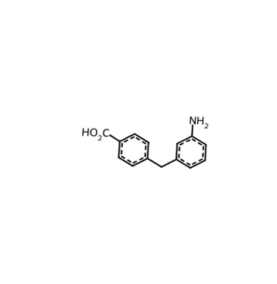 Nc1cccc(Cc2ccc(C(=O)O)cc2)c1